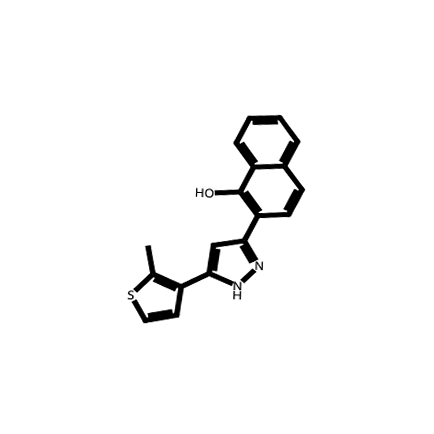 Cc1sccc1-c1cc(-c2ccc3ccccc3c2O)n[nH]1